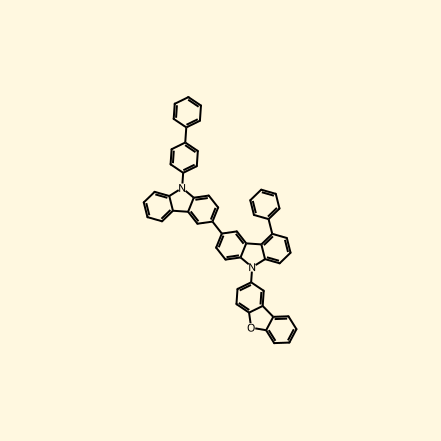 c1ccc(-c2ccc(-n3c4ccccc4c4cc(-c5ccc6c(c5)c5c(-c7ccccc7)cccc5n6-c5ccc6oc7ccccc7c6c5)ccc43)cc2)cc1